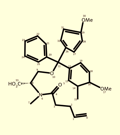 C=CCCC(=O)N(C)[C@@H](COC(C1=CC(C)C(OC)C=C1)(c1ccccc1)c1ccc(OC)cc1)C(=O)O